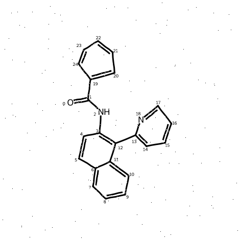 O=C(Nc1ccc2ccccc2c1-c1ccccn1)c1ccccc1